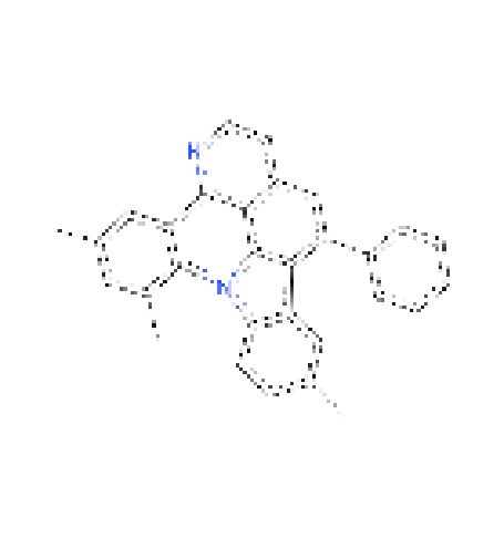 Cc1ccc2c(c1)c1c(-c3ccccc3)cc3ccnc4c5cc(C)cc(C)c5n2c1c34